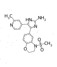 Cc1cc(-c2[nH]c(N)nc2-c2ccc3c(c2)N(S(C)(=O)=O)CCO3)ccn1